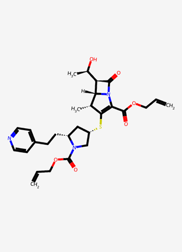 C=CCOC(=O)C1=C(S[C@H]2C[C@@H](CCc3ccncc3)N(C(=O)OCC=C)C2)[C@H](C)[C@@H]2[C@@H]([C@@H](C)O)C(=O)N12